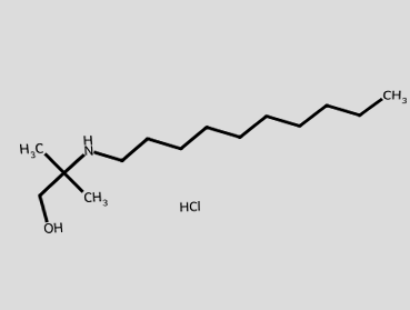 CCCCCCCCCCNC(C)(C)CO.Cl